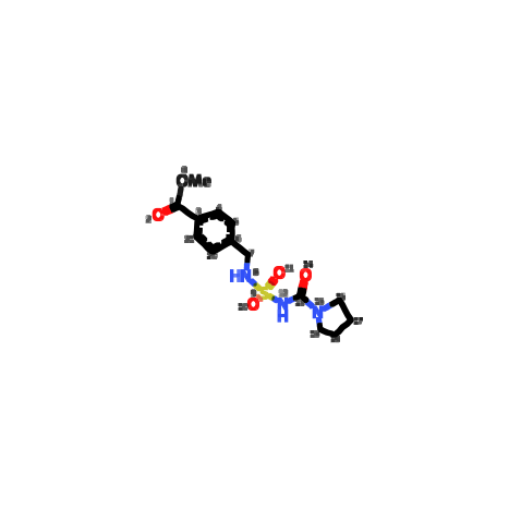 COC(=O)c1ccc(CNS(=O)(=O)NC(=O)N2CCCC2)cc1